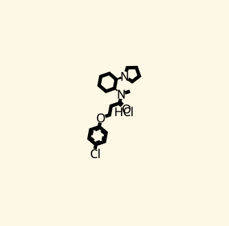 CN(C(=O)CCOc1ccc(Cl)cc1)[C@@H]1CCCC[C@H]1N1CCCC1.Cl